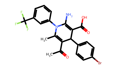 CC(=O)C1=C(C)N(c2cccc(C(F)(F)F)c2)C(N)=C(C(=O)O)C1c1ccc(Br)cc1